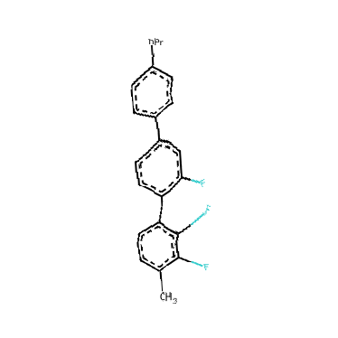 CCCc1ccc(-c2ccc(-c3ccc(C)c(F)c3F)c(F)c2)cc1